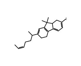 C/C=C\CCC(C)C1=CC2=C(CC1)C1=CC=C(I)CC1C2(C)C